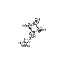 CNC(CCCCNC(=O)CN1CCN(CC(=O)O)CCN(CC(=O)O)CCN(CC(=O)O)CC1)C(=O)O